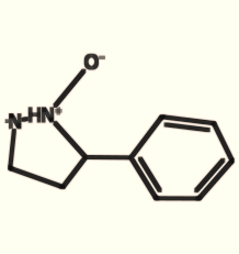 [O-][NH+]1[N]CCC1c1ccccc1